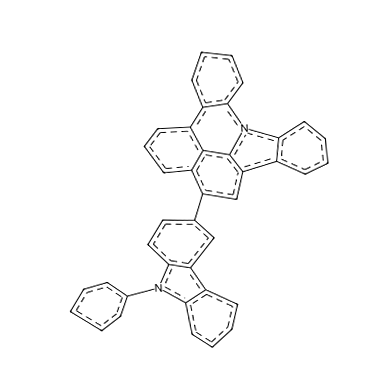 c1ccc(-n2c3ccccc3c3cc(-c4cc5c6ccccc6n6c7ccccc7c7cccc4c7c56)ccc32)cc1